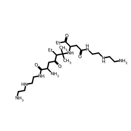 CCC(=O)C(CC(=O)NCCNCCN)NC(C)(C)C(CC)C(=O)CC(N)C(=O)NCCNCCN